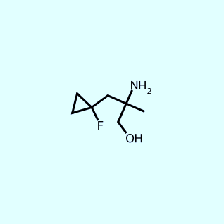 CC(N)(CO)CC1(F)CC1